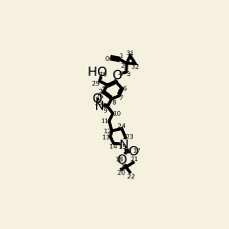 C#CC1(COc2ccc3c(CCC4CCN(C(=O)OC(C)(C)C)CC4)noc3c2CO)CC1